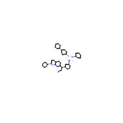 Cc1cc(-c2cccc(-c3nc(-c4ccccc4)nc(-c4ccc(-c5ccccc5)cc4)n3)c2)c2ccc3ccc(-c4ccccc4)nc3c2n1